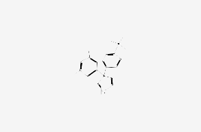 Cc1cc(C)cc(C2(c3ccc(C(C)(C)C)cc3)C=CN=C2)c1